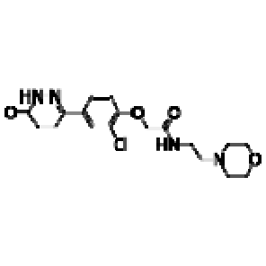 O=C(COc1ccc(C2=NNC(=O)CC2)cc1Cl)NCCN1CCOCC1